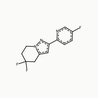 Fc1ccc(-c2cc3n(n2)CCC(F)(F)C3)nc1